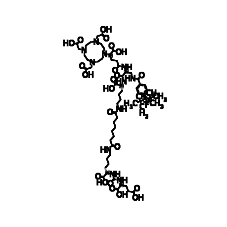 CC(C)(C)S(F)(c1ccc(C(=O)NC[C@H](NC(=O)CC[C@H](C(=O)O)N2CCN(CC(=O)O)CCN(CC(=O)O)CCN(CC(=O)O)CC2)C(=O)N[C@H](CCCCNC(=O)CCCCCCC(=O)NCCCC[C@H](NC(=O)N[C@@H](CCC(=O)O)C(=O)O)C(=O)O)C(=O)O)cc1)C(C)(C)C